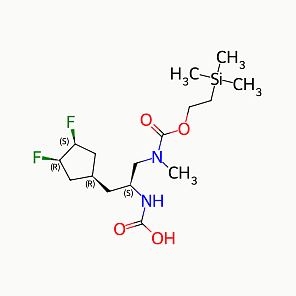 CN(C[C@H](C[C@H]1C[C@@H](F)[C@@H](F)C1)NC(=O)O)C(=O)OCC[Si](C)(C)C